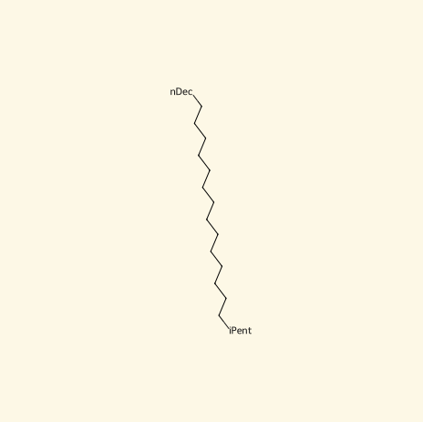 CCCCCCCCCCCCCCCCCCCCCCCCC(C)CCC